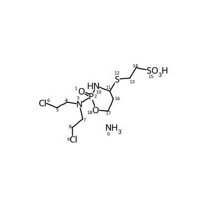 N.O=P1(N(CCCl)CCCl)NC(SCCS(=O)(=O)O)CCO1